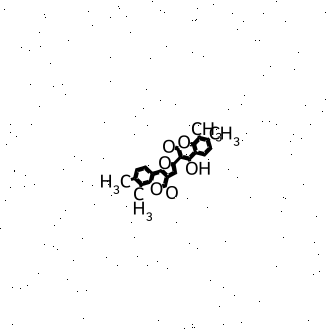 Cc1ccc2c(O)c(-c3cc4c(=O)oc5c(C)c(C)ccc5c4o3)c(=O)oc2c1C